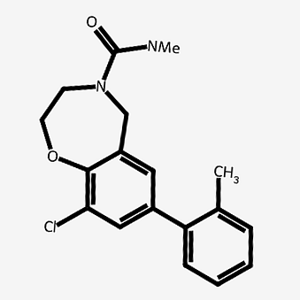 CNC(=O)N1CCOc2c(Cl)cc(-c3ccccc3C)cc2C1